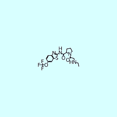 CCNCC(=O)N1CCCC1C(=O)Nc1nc2ccc(OC(F)(F)F)cc2s1